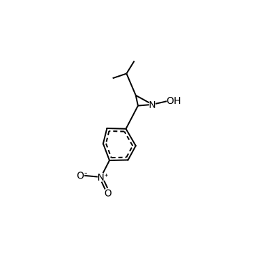 CC(C)C1C(c2ccc([N+](=O)[O-])cc2)N1O